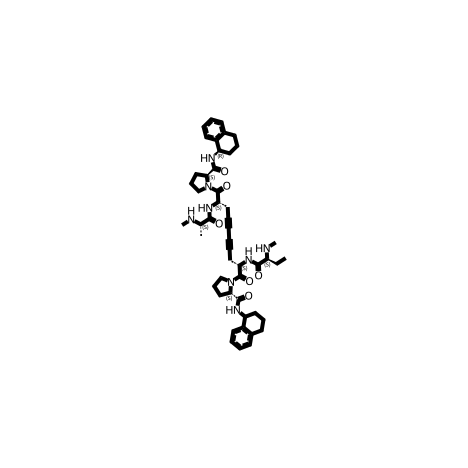 CC[C@H](NC)C(=O)N[C@@H](CC#CC#CC[C@H](NC(=O)[C@H](C)NC)C(=O)N1CCC[C@H]1C(=O)N[C@@H]1CCCc2ccccc21)C(=O)N1CCC[C@H]1C(=O)NC1CCCc2ccccc21